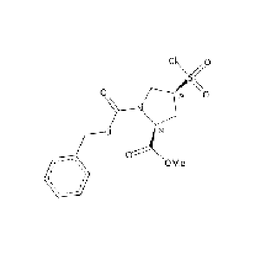 COC(=O)[C@@H]1C[C@H](S(=O)(=O)Cl)CN1C(=O)OCc1ccccc1